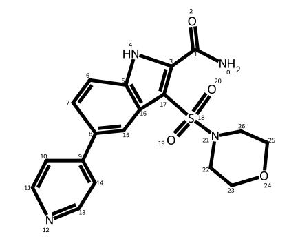 NC(=O)c1[nH]c2ccc(-c3ccncc3)cc2c1S(=O)(=O)N1CCOCC1